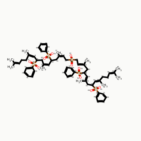 CC(C)=CCCC(C)=CC(CC(C)=CC(CC(C)=CCS(=O)(=O)CC=C(C)CC(C=C(C)CC(C=C(C)CCC=C(C)C)S(=O)(=O)c1ccccc1)S(=O)(=O)c1ccccc1)S(=O)(=O)c1ccccc1)S(=O)(=O)c1ccccc1